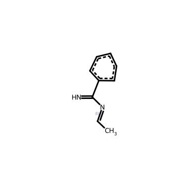 C/C=N/C(=N)c1ccccc1